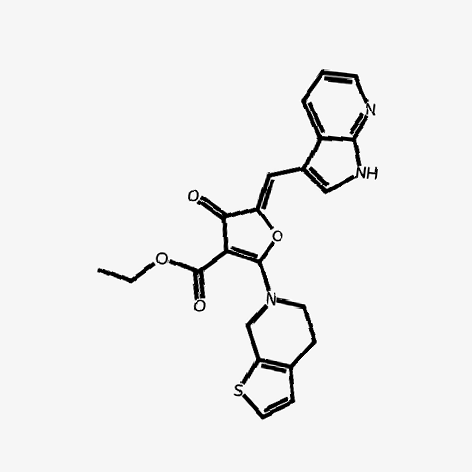 CCOC(=O)C1=C(N2CCc3ccsc3C2)OC(=Cc2c[nH]c3ncccc23)C1=O